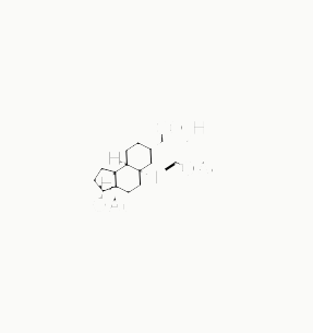 CC(=O)O/C=C/[C@H]1[C@H](CC(=O)O)CC[C@@H]2[C@@H]1CC[C@]1(C)[C@@H](OC(C)=O)CC[C@@H]21